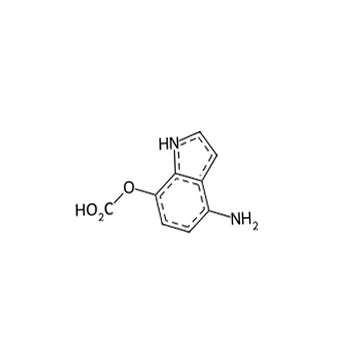 Nc1ccc(OC(=O)O)c2[nH]ccc12